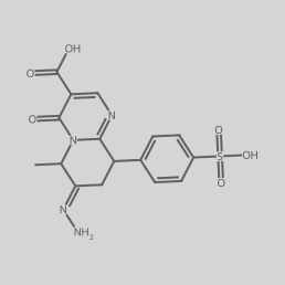 CC1C(=NN)CC(c2ccc(S(=O)(=O)O)cc2)c2ncc(C(=O)O)c(=O)n21